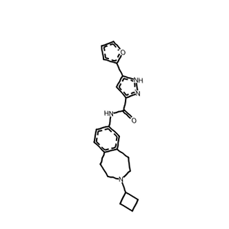 O=C(Nc1ccc2c(c1)CCN(C1CCC1)CC2)c1cc(-c2ccco2)[nH]n1